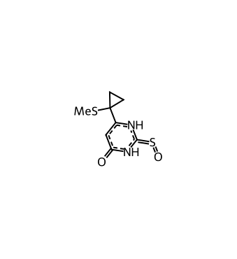 CSC1(c2cc(=O)[nH]c(=S=O)[nH]2)CC1